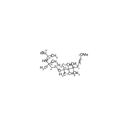 COC#CCC(C)(C)C(C)(C)C(C)(C)OCCC(C)(C)NC(C)C(C)(C)C